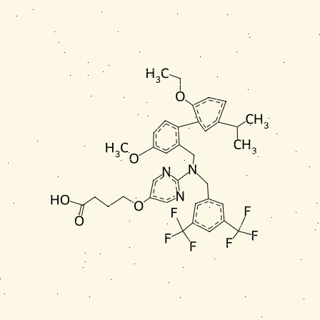 CCOc1ccc(C(C)C)cc1-c1ccc(OC)cc1CN(Cc1cc(C(F)(F)F)cc(C(F)(F)F)c1)c1ncc(OCCCC(=O)O)cn1